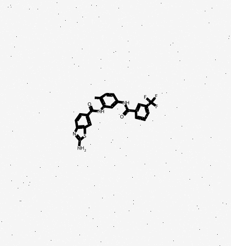 Cc1ccc(NC(=O)c2cccc(C(F)(F)F)c2)cc1NC(=O)c1ccc2nc(N)sc2c1